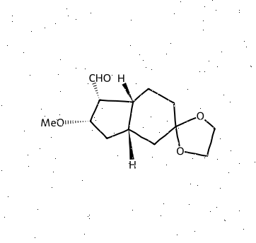 CO[C@H]1C[C@H]2CC3(CC[C@H]2[C@H]1C=O)OCCO3